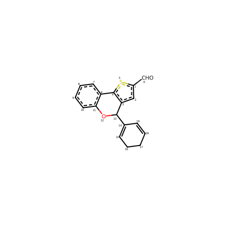 O=Cc1cc2c(s1)-c1ccccc1OC2C1=CCCC=C1